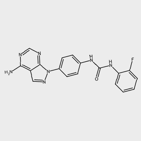 Nc1ncnc2c1cnn2-c1ccc(NC(=O)Nc2ccccc2F)cc1